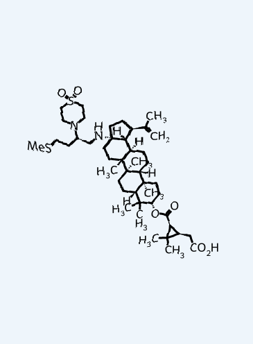 C=C(C)[C@@H]1CC[C@]2(NC[C@@H](CCSC)N3CCS(=O)(=O)CC3)CC[C@]3(C)[C@H](CC[C@@H]4[C@@]5(C)CC[C@H](OC(=O)[C@H]6[C@@H](CC(=O)O)C6(C)C)C(C)(C)[C@@H]5CC[C@]43C)[C@@H]12